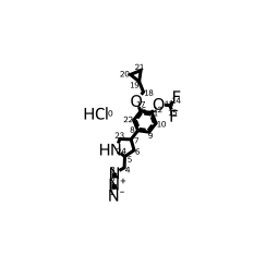 Cl.[N-]=[N+]=NCC1CC(c2ccc(OC(F)F)c(OCC3CC3)c2)CN1